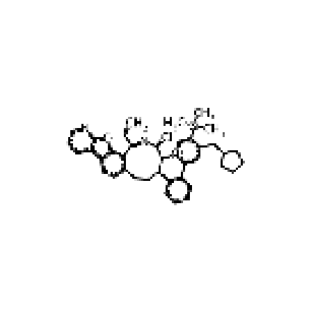 C=C/C1=N/C(=C)C2C(CCc3ccc4c(oc5ncccc54)c31)c1ccccc1-c1cc(CC3CCCC3)c([Si](C)(C)C)c[n+]12